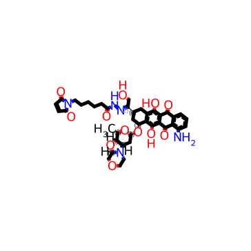 C[C@@H]1O[C@@H](O[C@H]2C[C@H](/C(CO)=N/NC(=O)CCCCCN3C(=O)C=CC3=O)Cc3c(O)c4c(c(O)c32)C(=O)c2c(N)cccc2C4=O)C[C@H]2[C@@H]1O[C@@H]1COCCN12